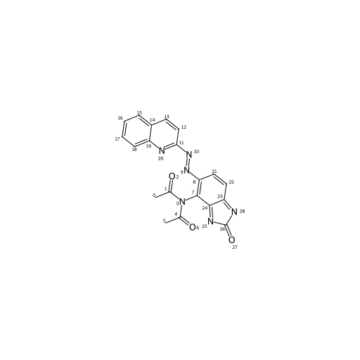 CC(=O)N(C(C)=O)c1c(N=Nc2ccc3ccccc3n2)ccc2c1=NC(=O)N=2